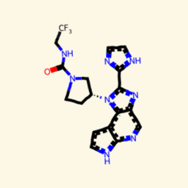 O=C(NCC(F)(F)F)N1CC[C@@H](n2c(-c3ncc[nH]3)nc3cnc4[nH]ccc4c32)C1